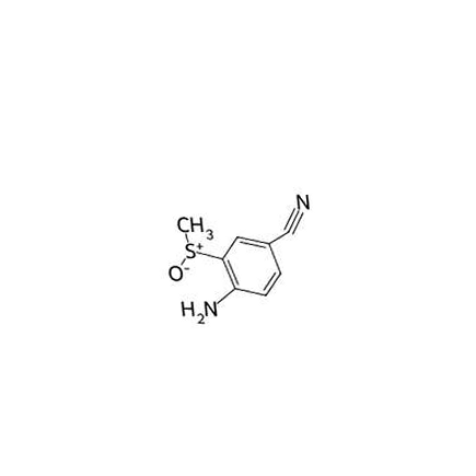 C[S+]([O-])c1cc(C#N)ccc1N